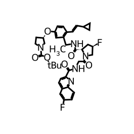 C[C@H](NC(=O)[C@@H]1C[C@@H](F)CN1C(=O)CNC(=O)c1ccc2cc(F)ccc2n1)c1cc(O[C@H]2CCN(C(=O)OC(C)(C)C)C2)ccc1/C=C/C1CC1